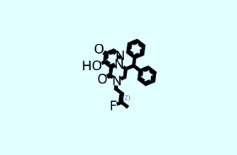 C/C(F)=C/CN1CC(C(c2ccccc2)c2ccccc2)n2ncc(=O)c(O)c2C1=O